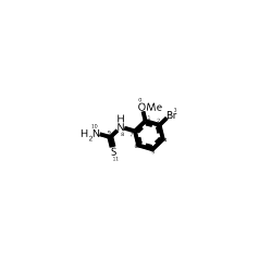 COc1c(Br)cccc1NC(N)=S